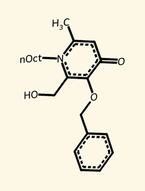 CCCCCCCCn1c(C)cc(=O)c(OCc2ccccc2)c1CO